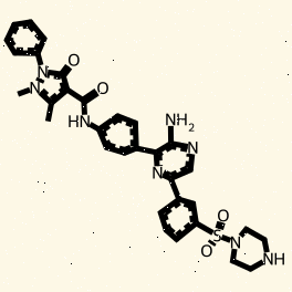 Cc1c(C(=O)Nc2ccc(-c3nc(-c4cccc(S(=O)(=O)N5CCNCC5)c4)cnc3N)cc2)c(=O)n(-c2ccccc2)n1C